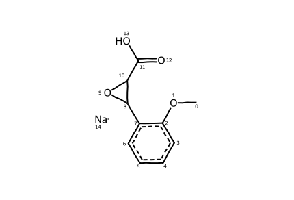 COc1ccccc1C1OC1C(=O)O.[Na]